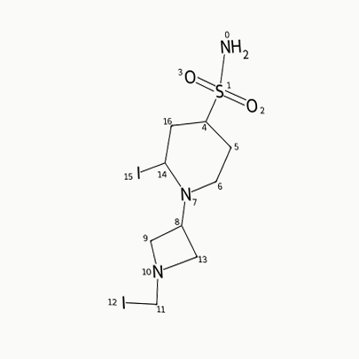 NS(=O)(=O)C1CCN(C2CN(CI)C2)C(I)C1